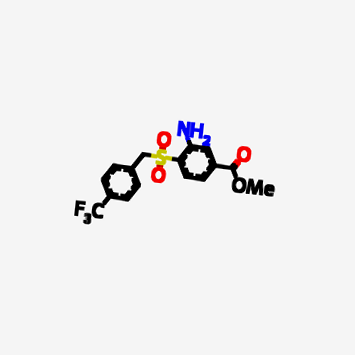 COC(=O)c1ccc(S(=O)(=O)Cc2ccc(C(F)(F)F)cc2)c(N)c1